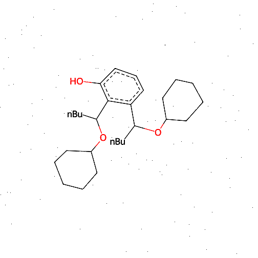 CCCCC(OC1CCCCC1)c1cccc(O)c1C(CCCC)OC1CCCCC1